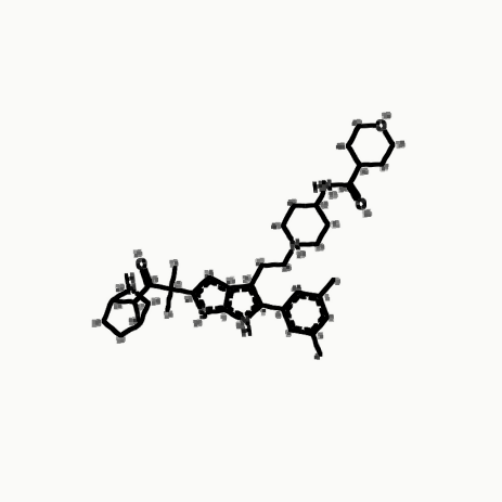 Cc1cc(C)cc(-c2[nH]c3sc(C(C)(C)C(=O)C4C5CCC4NC5)cc3c2CCN2CCC(NC(=O)C3CCOCC3)CC2)c1